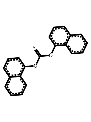 S=C(Oc1cccc2ccccc12)Oc1cccc2ccccc12